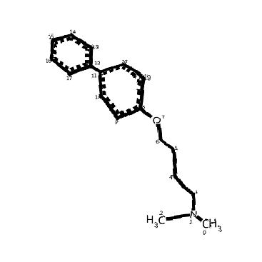 CN(C)CCCCOc1ccc(-c2[c]cccc2)cc1